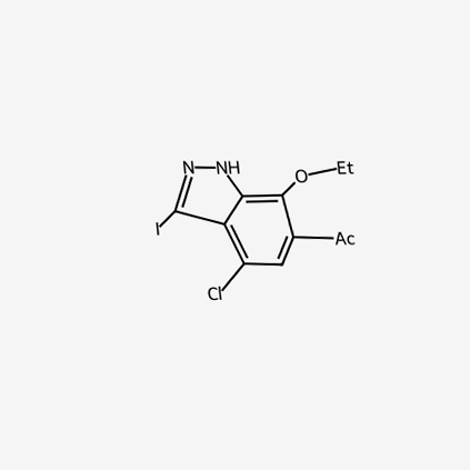 CCOc1c(C(C)=O)cc(Cl)c2c(I)n[nH]c12